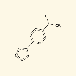 FC(c1ccc(-c2ccsc2)cc1)C(F)(F)F